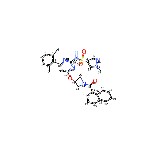 Cc1cccc(C)c1-c1cc(OC2CN(C(=O)c3cccc4ccccc34)C2)nc(NS(=O)(=O)c2cnn(C)c2)n1